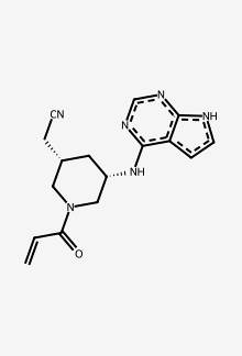 C=CC(=O)N1C[C@H](CC#N)C[C@H](Nc2ncnc3[nH]ccc23)C1